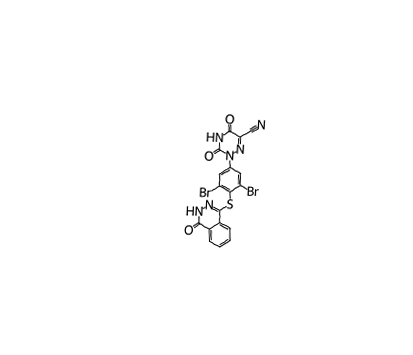 N#Cc1nn(-c2cc(Br)c(Sc3n[nH]c(=O)c4ccccc34)c(Br)c2)c(=O)[nH]c1=O